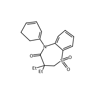 CCC1(CC)CS(=O)(=O)c2ccccc2N(C2=CC=CCC2)C1=O